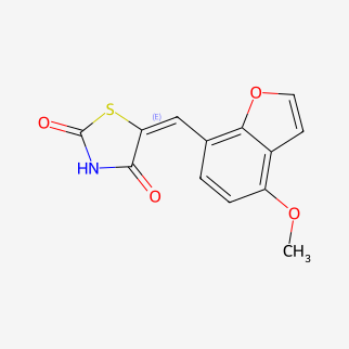 COc1ccc(/C=C2/SC(=O)NC2=O)c2occc12